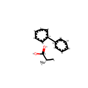 CCC(=O)[O-].[Na+].c1ccc(-c2ccccc2)cc1